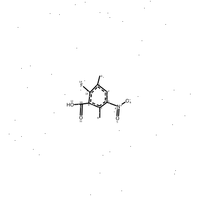 Cc1cc([N+](=O)[O-])c(C)c(C(=O)O)c1F